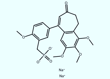 COc1ccc(C2=CC(=O)CCc3c2cc(OC)c(OC)c3OC)cc1CP(=O)([O-])[O-].[Na+].[Na+]